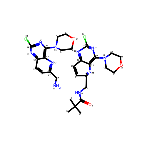 CC(C)(C)C(=O)NCc1ccc2nc(Cl)nc(N3CCOCC3)c2n1.NCc1ccc2nc(Cl)nc(N3CCOCC3)c2n1